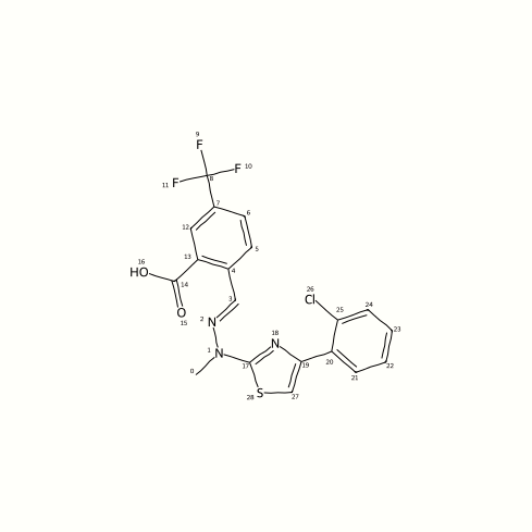 CN(N=Cc1ccc(C(F)(F)F)cc1C(=O)O)c1nc(-c2ccccc2Cl)cs1